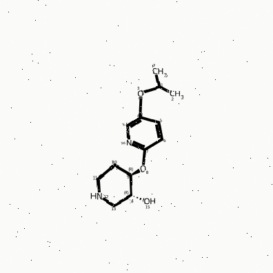 CC(C)Oc1ccc(O[C@@H]2CCNC[C@H]2O)nc1